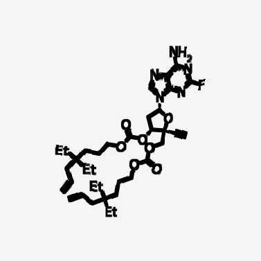 C#C[C@]1(COC(=O)OCCCC(CC)(CC)CC=C)O[C@@H](n2cnc3c(N)nc(F)nc32)C[C@@H]1OC(=O)OCCCC(CC)(CC)CC=C